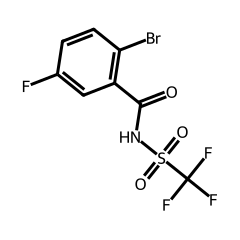 O=C(NS(=O)(=O)C(F)(F)F)c1cc(F)ccc1Br